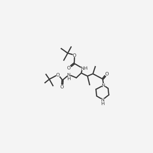 CC(C(=O)N1CCNCC1)C(C)C(CNC(=O)OC(C)(C)C)NC(=O)OC(C)(C)C